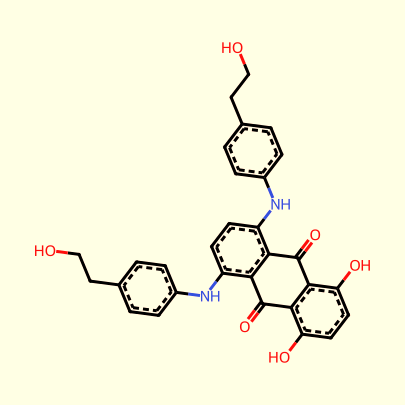 O=C1c2c(O)ccc(O)c2C(=O)c2c(Nc3ccc(CCO)cc3)ccc(Nc3ccc(CCO)cc3)c21